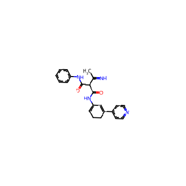 CC(=N)C(C(=O)NC1=CCCC(c2ccncc2)=C1)C(=O)Nc1ccccc1